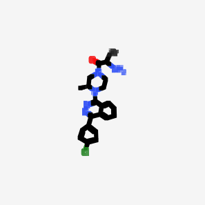 CC(C)C(N)C(=O)N1CCN(c2nnc(-c3ccc(Cl)cc3)c3ccccc23)[C@@H](C)C1